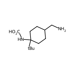 CC(C)(C)C1(NC(=O)O)CCC(CN)CC1